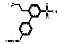 CCCc1ccc(S(=O)(=O)O)cc1-c1ccc(N=[N+]=[N-])cc1